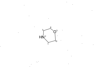 [CH]1CNCCO1